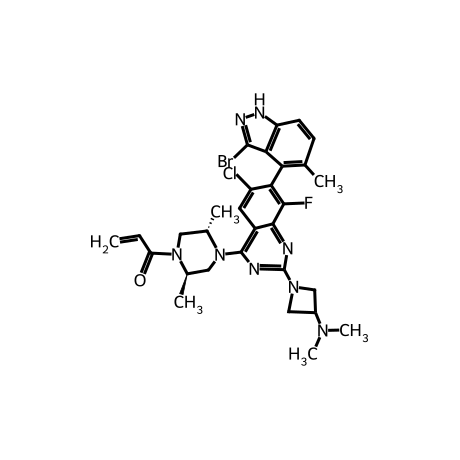 C=CC(=O)N1C[C@H](C)N(c2nc(N3CC(N(C)C)C3)nc3c(F)c(-c4c(C)ccc5[nH]nc(Br)c45)c(Cl)cc23)C[C@H]1C